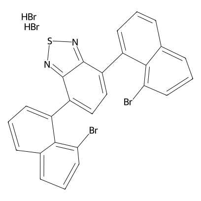 Br.Br.Brc1cccc2cccc(-c3ccc(-c4cccc5cccc(Br)c45)c4nsnc34)c12